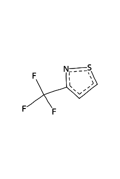 FC(F)(F)c1ccsn1